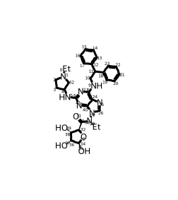 CCN1CCC(Nc2nc(NCC(c3ccccc3)c3ccccc3)c3ncn(N(CC)C(=O)[C@H]4O[C@@H](O)[C@H](O)[C@@H]4O)c3n2)C1